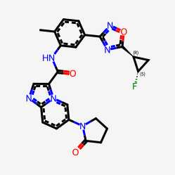 Cc1ccc(-c2noc([C@H]3C[C@@H]3F)n2)cc1NC(=O)c1cnc2ccc(N3CCCC3=O)cn12